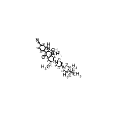 CCc1cc2c(cc1N1CCC(N3CCN(C(C)(C)C)CC3)CC1)C(C)(C)c1[nH]c3cc(C#N)ccc3c1C2=O